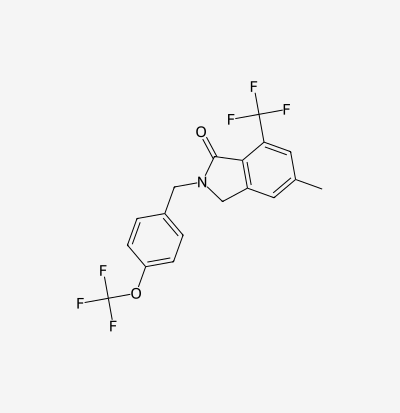 Cc1cc2c(c(C(F)(F)F)c1)C(=O)N(Cc1ccc(OC(F)(F)F)cc1)C2